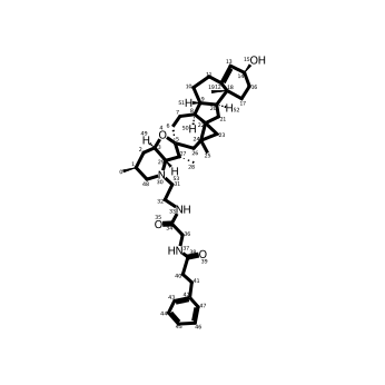 C[C@H]1C[C@H]2O[C@]3(CC[C@H]4[C@@H]5CCC6=C[C@@H](O)CC[C@]6(C)[C@H]5CC45CC5(C)C3)[C@H](C)[C@@H]2N(CCNC(=O)CNC(=O)CCc2ccccc2)C1